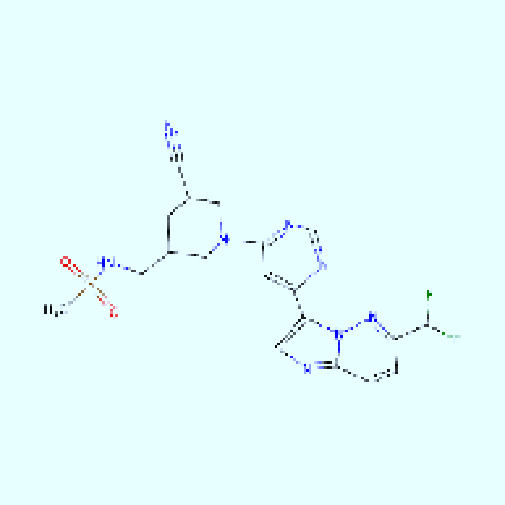 CS(=O)(=O)NCC1CC(C#N)CN(c2cc(-c3cnc4ccc(C(F)F)nn34)ncn2)C1